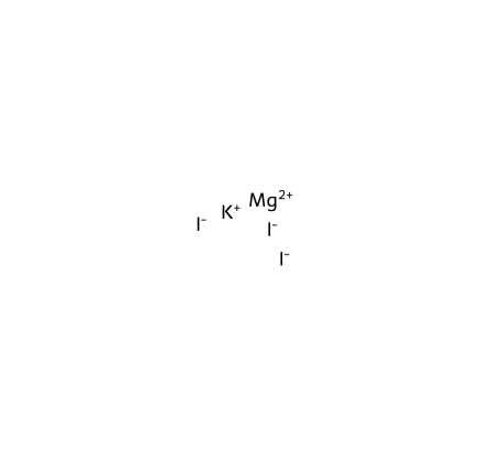 [I-].[I-].[I-].[K+].[Mg+2]